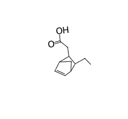 CCC1C2C=CC(C2)C1CC(=O)O